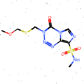 CNS(=O)(=O)c1ncn2c(=O)n(CSCOC)nnc12